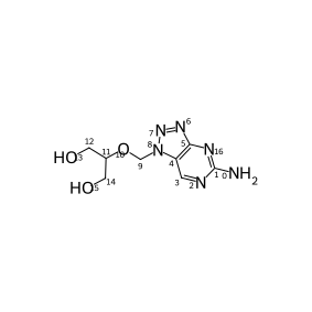 Nc1ncc2c(nnn2COC(CO)CO)n1